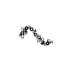 CC(C)N(CC1CCN(c2ncc(C(=O)NC3C(C)(C)C(Oc4ccc(C#N)c(Cl)c4)C3(C)C)cn2)CC1)C1CCC(Oc2ccc3c(c2)C(=O)N(C2CCC(=O)NC2=O)C3=O)CC1